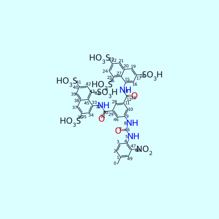 Cc1ccc(NC(=O)Nc2cc(C(=O)Nc3cc(S(=O)(=O)O)cc4cc(S(=O)(=O)O)cc(S(=O)(=O)O)c34)cc(C(=O)Nc3cc(S(=O)(=O)O)cc4cc(S(=O)(=O)O)cc(S(=O)(=O)O)c34)c2)c([N+](=O)[O-])c1